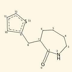 O=C1NCCCCC1Cc1cccs1